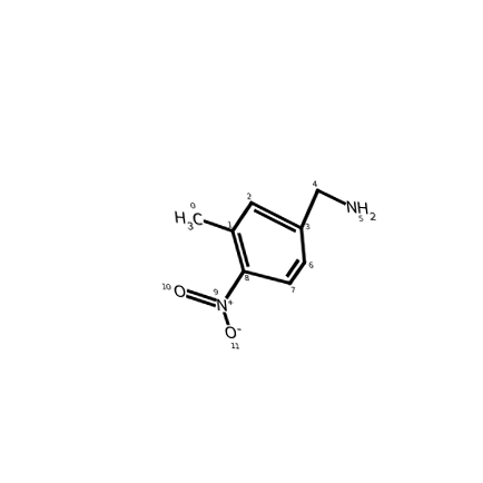 Cc1cc(CN)ccc1[N+](=O)[O-]